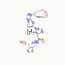 Cc1cnc(NC2CCOCC2)nc1-n1cnc(C(=O)NCc2sccc2CO)c1